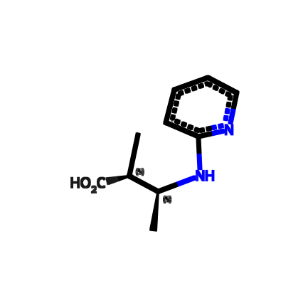 C[C@H](Nc1ccccn1)[C@H](C)C(=O)O